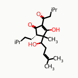 CC(C)=CCC(O)C1(C)C(O)=C(C(=O)CC(C)C)C(=O)[C@H]1CCC(C)C